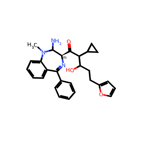 CN1c2ccccc2C(c2ccccc2)=N[C@H](C(=O)C(C(O)CCc2ccco2)C2CC2)C1N